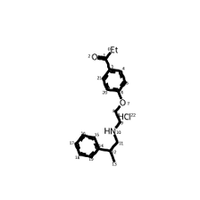 CCC(=O)c1ccc(OCCNCC(C)c2ccccc2)cc1.Cl